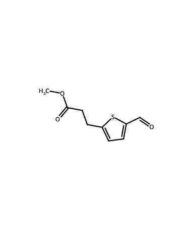 COC(=O)CCc1ccc(C=O)s1